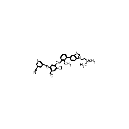 Cc1c(COc2cc(OCc3cncc(C#N)c3)c(C=O)cc2Cl)cccc1-c1ccc2c(c1)ncn2CCN(C)C